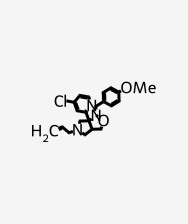 C=CCN1CC2CON(Cc3ccc(OC)cc3)C2(c2cc(Cl)ccn2)C1